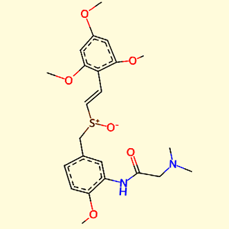 COc1cc(OC)c(C=C[S+]([O-])Cc2ccc(OC)c(NC(=O)CN(C)C)c2)c(OC)c1